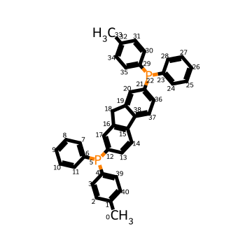 Cc1ccc(P(c2ccccc2)c2ccc3c(c2)Cc2cc(P(c4ccccc4)c4ccc(C)cc4)ccc2-3)cc1